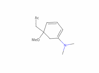 COC1(CC(C)=O)C=CC=C(N(C)C)C1